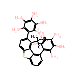 Bc1c(B)c(B)c(-c2ccc3sc4cccc(-c5c(B)c(B)c(B)c(B)c5B)c4c3c2C(C)(C)C)c(B)c1B